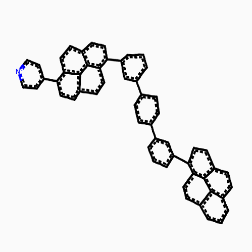 c1cc(-c2ccc(-c3cccc(-c4ccc5ccc6c(-c7ccncc7)ccc7ccc4c5c76)c3)cc2)cc(-c2ccc3ccc4cccc5ccc2c3c45)c1